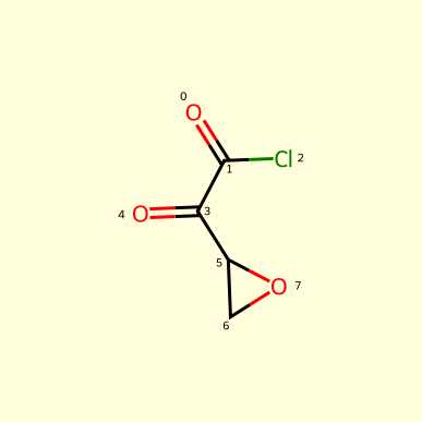 O=C(Cl)C(=O)C1CO1